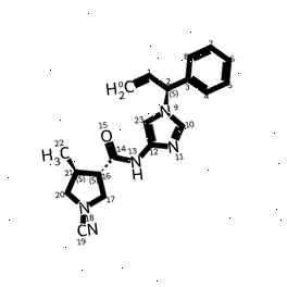 C=C[C@@H](c1ccccc1)n1cnc(NC(=O)[C@@H]2CN(C#N)C[C@H]2C)c1